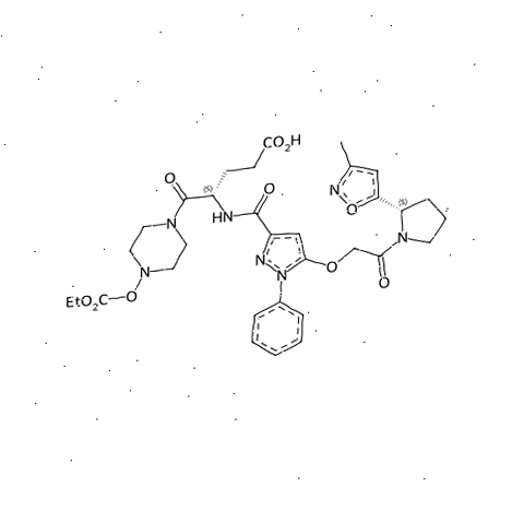 CCOC(=O)ON1CCN(C(=O)[C@H](CCC(=O)O)NC(=O)c2cc(OCC(=O)N3CCC[C@H]3c3cc(C)no3)n(-c3ccccc3)n2)CC1